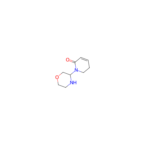 O=C1C=CCCN1C1COCCN1